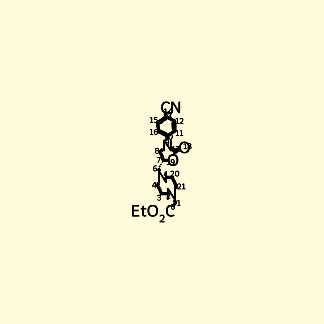 CCOC(=O)CN1CCN(C[C@@H]2CN(c3ccc(C#N)cc3)C(=O)O2)CC1